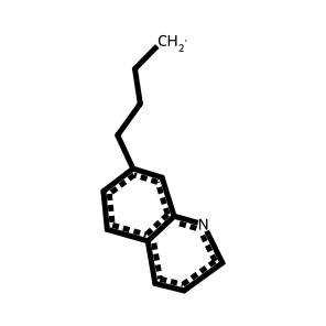 [CH2]CCCc1ccc2cccnc2c1